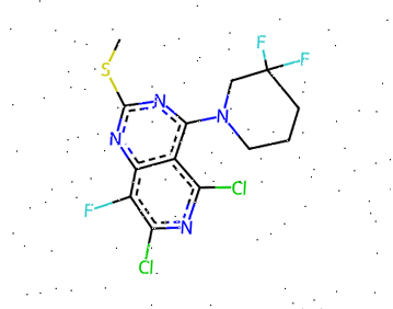 CSc1nc(N2CCCC(F)(F)C2)c2c(Cl)nc(Cl)c(F)c2n1